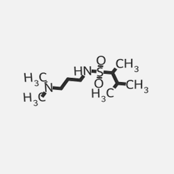 CC(C)C(C)S(=O)(=O)NCCCN(C)C